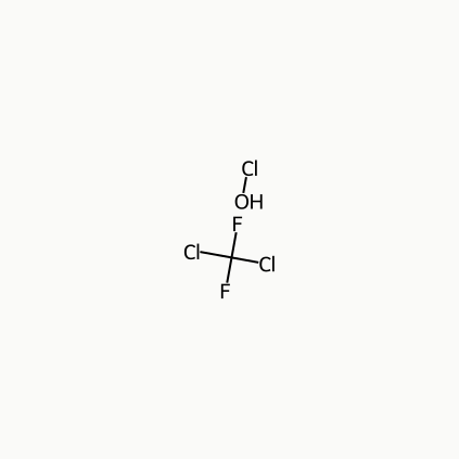 FC(F)(Cl)Cl.OCl